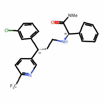 CNC(=O)[C@H](NCC[C@H](c1ccc(C(F)(F)F)nc1)c1cccc(Cl)c1)c1ccccc1